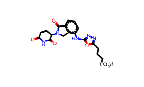 O=C(O)CCCc1nnc(Nc2cccc3c2CN(C2CCC(=O)NC2=O)C3=O)o1